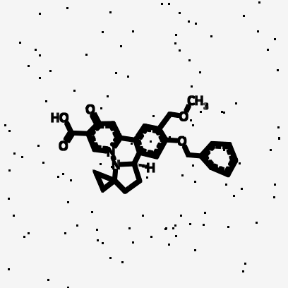 COCc1cc2c(cc1OCc1ccccc1)[C@H]1CCC3(CC3)N1n1cc(C(=O)O)c(=O)cc1-2